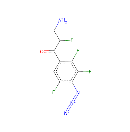 [N-]=[N+]=Nc1c(F)cc(C(=O)C(F)CN)c(F)c1F